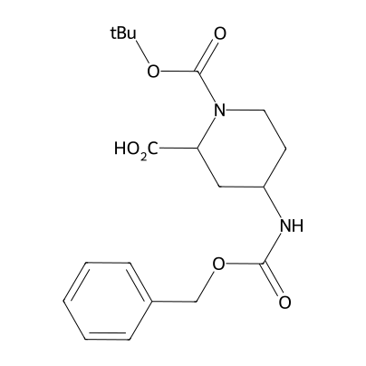 CC(C)(C)OC(=O)N1CCC(NC(=O)OCc2ccccc2)CC1C(=O)O